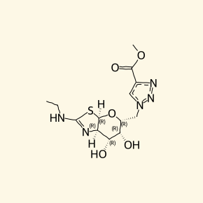 CCNC1=N[C@@H]2[C@@H](O)[C@@H](O)[C@@H](Cn3cc(C(=O)OC)nn3)O[C@@H]2S1